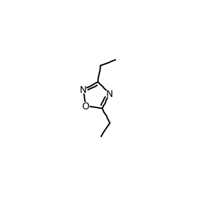 CCc1noc(CC)n1